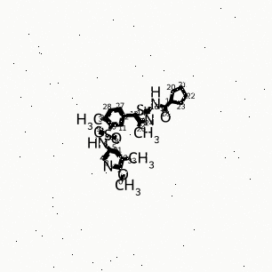 COc1ncc(NS(=O)(=O)c2cc(-c3sc(NC(=O)C4CCCC4)nc3C)ccc2C)cc1C